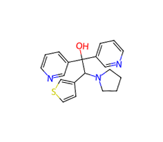 OC(c1cccnc1)(c1cccnc1)C(c1ccsc1)N1CCCC1